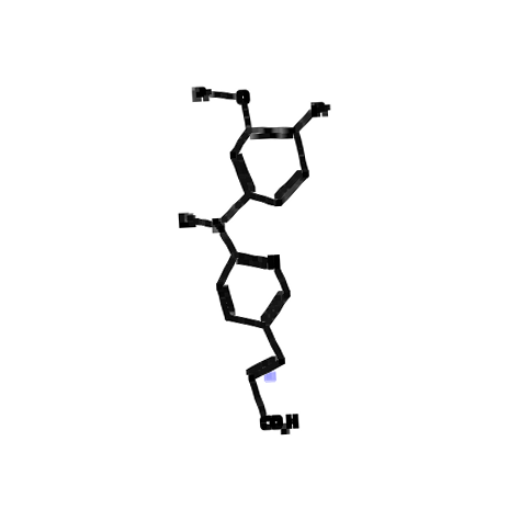 CCN(c1ccc(C(C)C)c(OC(C)C)c1)c1ccc(/C=C/C(=O)O)cn1